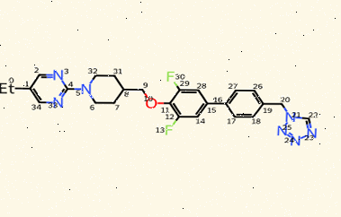 CCc1cnc(N2CCC(COc3c(F)cc(-c4ccc(Cn5cnnn5)cc4)cc3F)CC2)nc1